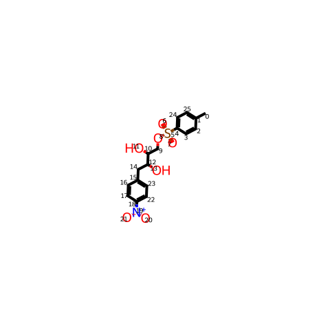 Cc1ccc(S(=O)(=O)OCC(O)C(O)Cc2ccc([N+](=O)[O-])cc2)cc1